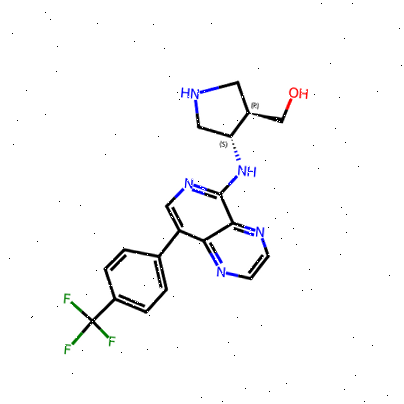 OC[C@@H]1CNC[C@H]1Nc1ncc(-c2ccc(C(F)(F)F)cc2)c2nccnc12